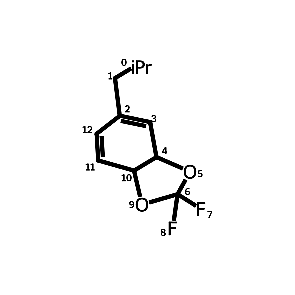 CC(C)CC1=CC2OC(F)(F)OC2C=C1